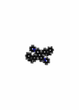 CC1(C)c2ccccc2-c2ccc(-c3c4ccc(N5CCCCC5)cc4c(-c4ccc5c(c4)-c4ccccc4[Si]5(C)C)c4ccc(N5CCCCC5)cc34)cc21